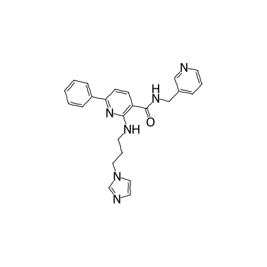 O=C(NCc1cccnc1)c1ccc(-c2ccccc2)nc1NCCCn1ccnc1